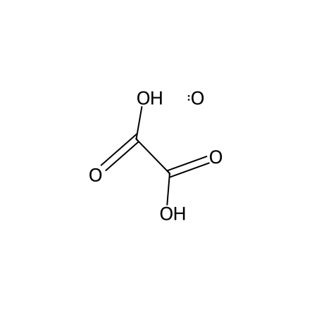 O=C(O)C(=O)O.[O]